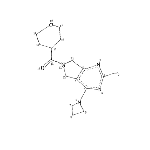 Cc1nc2c(c(N3CCC3)n1)CN(C(=O)C1CCOCC1)C2